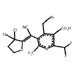 CC(C)Cc1c(C(=O)O)c(C(F)F)nc(C(F)(F)F)c1/C(C#N)=C1\OCCC1(Cl)Cl